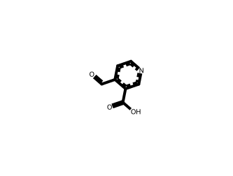 O=Cc1ccncc1C(=O)O